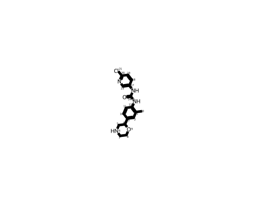 Cc1cc(C2CNCCO2)ccc1NC(=O)Nc1ccc(Cl)nc1